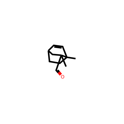 CC12C=CC(CC1)CC2(C)C=O